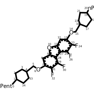 CCCCCC1CCC(COc2cc3oc4cc(OCC5CCC(CCC)CC5)c(F)c(F)c4c3c(F)c2F)CC1